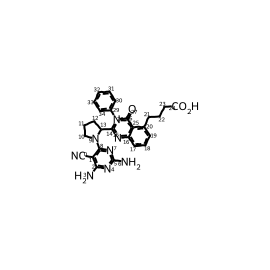 N#Cc1c(N)nc(N)nc1N1CCCC1c1nc2cccc(CCCC(=O)O)c2c(=O)n1-c1ccccc1